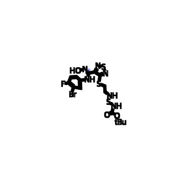 CC(C)(C)OC(=O)NSNCCSc1nsnc1/C(=N/O)Nc1ccc(F)c(Br)c1